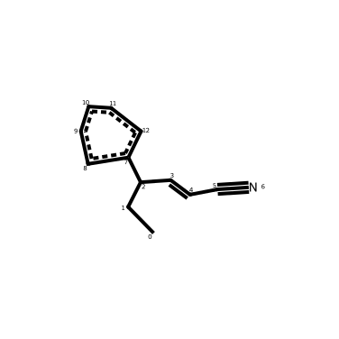 CCC(C=CC#N)c1ccccc1